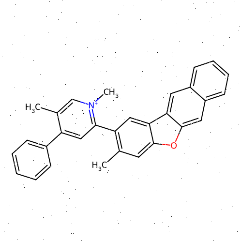 Cc1c[n+](C)c(-c2cc3c(cc2C)oc2cc4ccccc4cc23)cc1-c1ccccc1